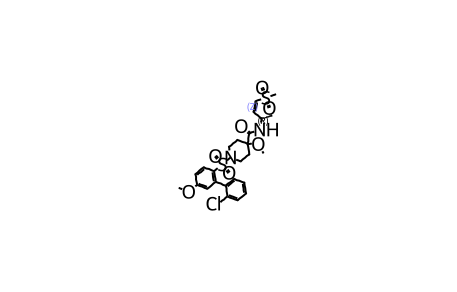 COc1ccc(S(=O)(=O)N2CCC(OC)(C(=O)N[C@H](C)/C=C\S(C)(=O)=O)CC2)c(-c2ccccc2Cl)c1